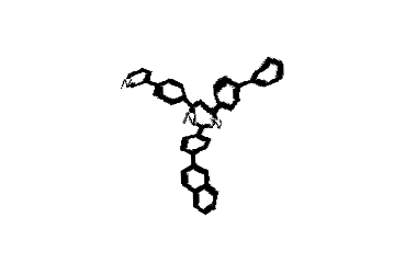 c1ccc(-c2ccc(-c3cc(-c4ccc(-c5cccnc5)cc4)nc(-c4ccc(-c5ccc6ccccc6c5)cc4)n3)cc2)cc1